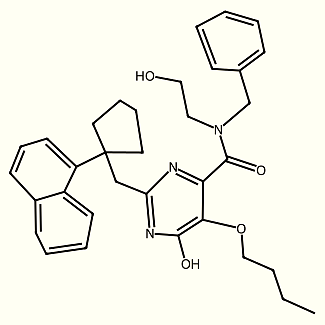 CCCCOc1c(O)nc(CC2(c3cccc4ccccc34)CCCC2)nc1C(=O)N(CCO)Cc1ccccc1